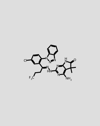 CC1(C)C(=O)Nc2nc(N/N=C(\CCC(F)(F)F)c3cc(Cl)ccc3-n3nnc4ccccc43)nc(N)c21